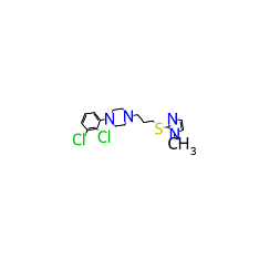 Cn1ccnc1SCCCN1CCN(c2cccc(Cl)c2Cl)CC1